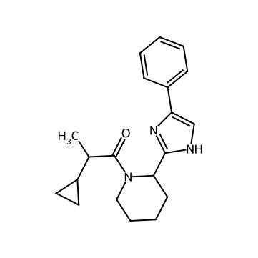 CC(C(=O)N1CCCCC1c1nc(-c2ccccc2)c[nH]1)C1CC1